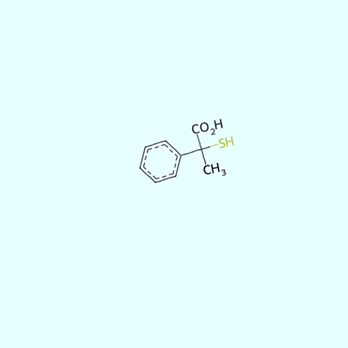 CC(S)(C(=O)O)c1ccccc1